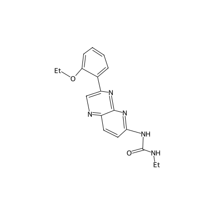 CCNC(=O)Nc1ccc2ncc(-c3ccccc3OCC)nc2n1